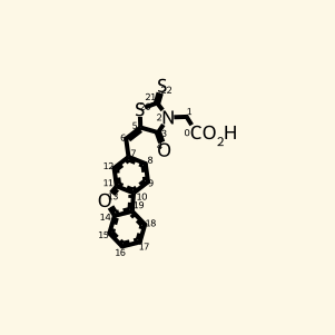 O=C(O)CN1C(=O)/C(=C\c2ccc3c(c2)oc2ccccc23)SC1=S